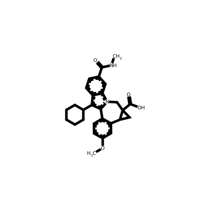 CNC(=O)c1ccc2c(C3CCCCC3)c3n(c2c1)CC1(C(=O)O)CC1c1cc(OC)ccc1-3